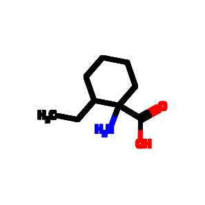 CCC1CCCCC1(N)C(=O)O